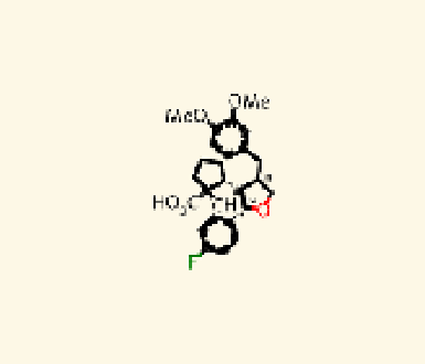 COc1ccc(C[C@H]2CO[C@H](c3ccc(F)cc3)[C@@H]2C2CCCC2(C)C(=O)O)cc1OC